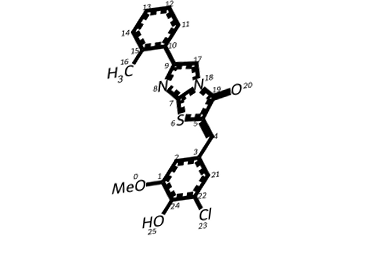 COc1cc(/C=c2\sc3nc(-c4ccccc4C)cn3c2=O)cc(Cl)c1O